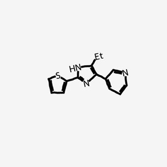 CCc1[nH]c(-c2cccs2)nc1-c1cccnc1